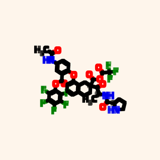 CC(=O)Nc1ccc(Oc2cccc3c2C[C@](C(=O)OC(=O)C(F)(F)F)(C(=O)[C@H](C)NC(=O)[C@H]2CCCN2)CC3)c(C(=O)Oc2c(F)c(F)c(F)c(F)c2F)c1